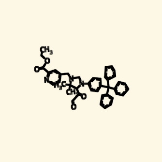 CCOC(=O)c1cc(CN2CN(c3ccc(C(c4ccccc4)(c4ccccc4)c4ccccc4)cc3)C(C(=O)C=O)C2(C)C)ccn1